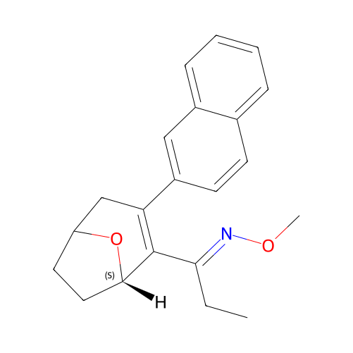 CCC(=NOC)C1=C(c2ccc3ccccc3c2)CC2CC[C@@H]1O2